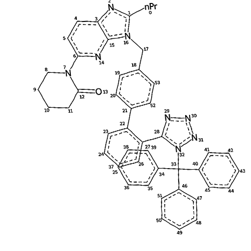 CCCc1nc2ccc(N3CCCCC3=O)nc2n1Cc1ccc(-c2ccccc2-c2nnnn2C(c2ccccc2)(c2ccccc2)c2ccccc2)cc1